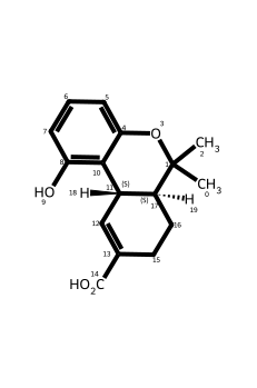 CC1(C)Oc2cccc(O)c2[C@H]2C=C(C(=O)O)CC[C@@H]21